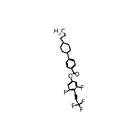 CCCC1CCC(c2ccc(C(=O)Oc3cc(F)c(C#CC(F)(F)F)c(F)c3)cc2)CC1